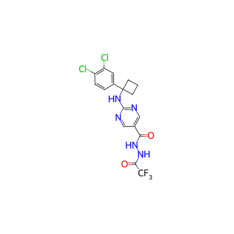 O=C(NNC(=O)C(F)(F)F)c1cnc(NC2(c3ccc(Cl)c(Cl)c3)CCC2)nc1